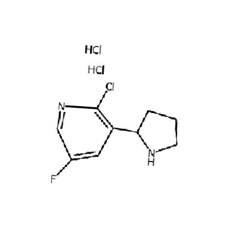 Cl.Cl.Fc1cnc(Cl)c(C2CCCN2)c1